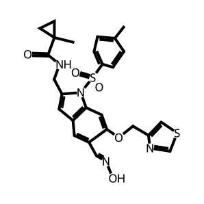 Cc1ccc(S(=O)(=O)n2c(CNC(=O)C3(C)CC3)cc3cc(/C=N/O)c(OCc4cscn4)cc32)cc1